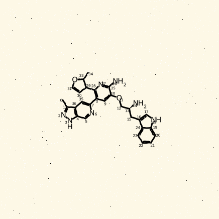 Cc1n[nH]c2cnc(-c3cc(OC[C@@H](N)Cc4c[nH]c5ccccc45)c(N)nc3C3C=COC3C)cc12